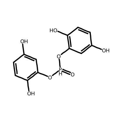 O=[PH](Oc1cc(O)ccc1O)Oc1cc(O)ccc1O